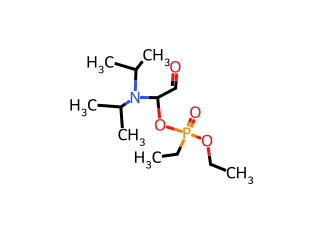 CCOP(=O)(CC)OC(C=O)N(C(C)C)C(C)C